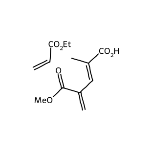 C=C(C=C(C)C(=O)O)C(=O)OC.C=CC(=O)OCC